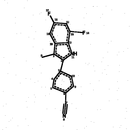 Cc1c(-c2ccc(C#N)cc2)[nH]c2c(F)cc(F)cc12